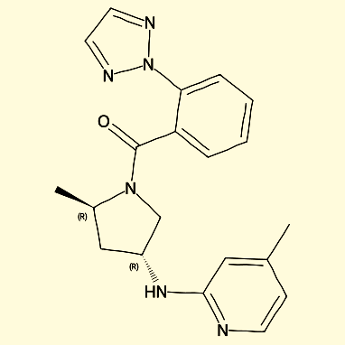 Cc1ccnc(N[C@@H]2C[C@@H](C)N(C(=O)c3ccccc3-n3nccn3)C2)c1